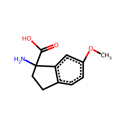 COc1ccc2c(c1)C(N)(C(=O)O)CC2